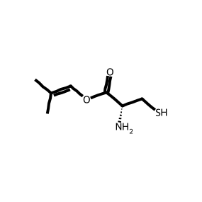 CC(C)=COC(=O)[C@@H](N)CS